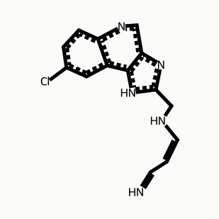 N=C/C=C\NCc1nc2cnc3ccc(Cl)cc3c2[nH]1